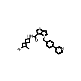 [2H]C1CC2(CC(NC(=O)c3csc4ccn(Cc5ccc(-c6cccnc6)cc5)c34)C2)C1C